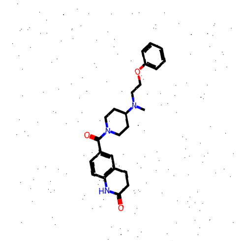 CN(CCOc1ccccc1)C1CCN(C(=O)c2ccc3c(c2)CCC(=O)N3)CC1